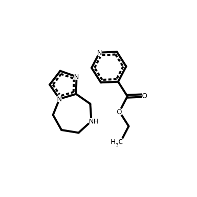 CCOC(=O)c1ccncc1.c1cn2c(n1)CNCCC2